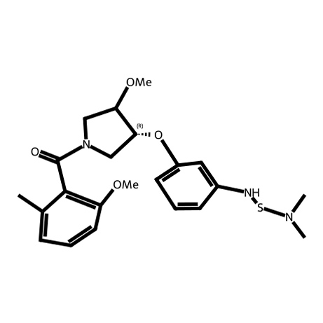 COc1cccc(C)c1C(=O)N1CC(OC)[C@H](Oc2cccc(NSN(C)C)c2)C1